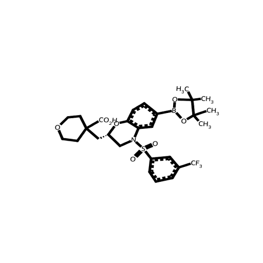 CC1(C)OB(c2ccc3c(c2)N(S(=O)(=O)c2cccc(C(F)(F)F)c2)C[C@H](CC2(C(=O)O)CCOCC2)O3)OC1(C)C